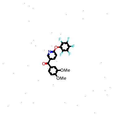 COc1ccc(C(=O)c2ccc(Oc3c(F)c(F)c(F)c(F)c3F)nc2)cc1OC